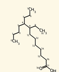 CCCCC(CCC)C(CC)CCCCCCC(=O)O